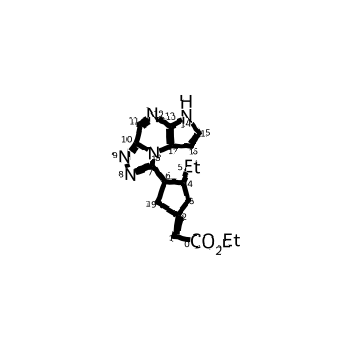 CCOC(=O)/C=C1\CC(CC)C(c2nnc3cnc4[nH]ccc4n23)C1